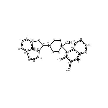 CC1(n2c(=O)c(=O)[nH]c3ccccc32)CCN(C2Cc3cccc4cccc2c34)CC1